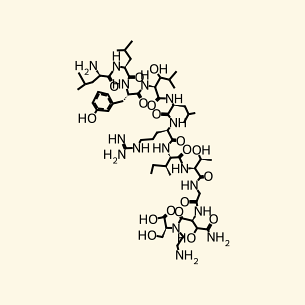 CC[C@H](C)[C@H](NC(=O)[C@@H](CCCNC(=N)N)NC(=O)[C@H](CC(C)C)NC(=O)[C@@H](NC(=O)[C@H](Cc1cccc(O)c1)NC(=O)[C@H](CC(C)C)NC(=O)[C@H](N)CC(C)C)C(O)C(C)C)C(=O)N[C@H](C(=O)NCC(=O)N[C@H](C(=O)N(CCN)[C@@H](CO)C(=O)O)C(O)C(N)=O)[C@H](C)O